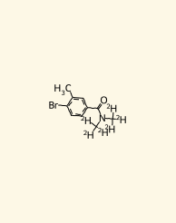 [2H]C([2H])([2H])N(C(=O)c1ccc(Br)c(C)c1)C([2H])([2H])[2H]